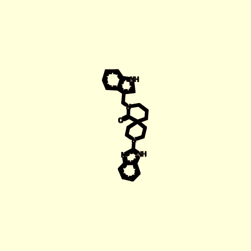 O=C1N(Cc2c[nH]c3ccccc23)CCCC12CCN(c1nc3ccccc3[nH]1)CC2